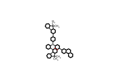 CC1(C)c2ccccc2-c2cc(-c3ccc(N(c4ccc(-c5ccc6c(ccc7ccccc76)c5)cc4)c4ccccc4-c4cccc5c4-c4ccccc4C5(C)C)cc3)ccc21